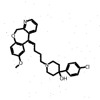 COc1ccc2c(c1)C(=CCCCN1CCC(O)(c3ccc(Cl)cc3)CC1)c1cccnc1CO2